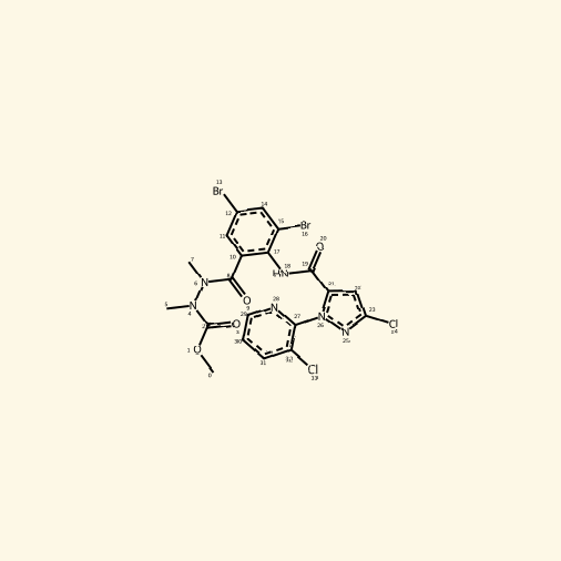 COC(=O)N(C)N(C)C(=O)c1cc(Br)cc(Br)c1NC(=O)c1cc(Cl)nn1-c1ncccc1Cl